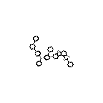 c1ccc(-c2cccc(-c3ccc(N(c4ccccc4)c4ccc(-c5ccc6c(c5)oc5ccc7nc(-c8ccccc8)oc7c56)c(-c5ccccc5)c4)cc3)c2)cc1